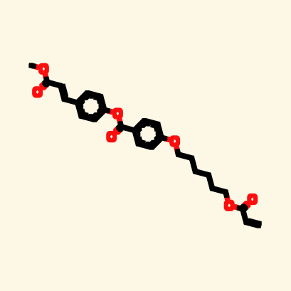 C=CC(=O)OCCCCCCOc1ccc(C(=O)Oc2ccc(C=CC(=O)OC)cc2)cc1